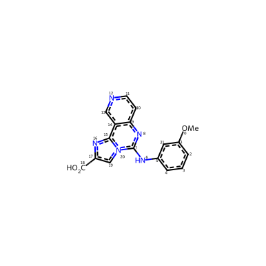 COc1cccc(Nc2nc3ccncc3c3nc(C(=O)O)cn23)c1